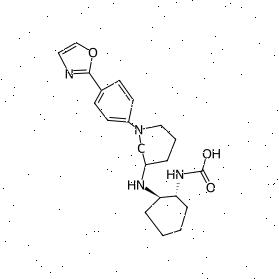 O=C(O)N[C@@H]1CCCC[C@H]1NC1CCCN(c2ccc(-c3ncco3)cc2)C1